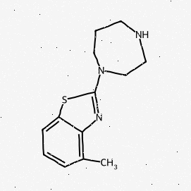 Cc1cccc2sc(N3CCCNCC3)nc12